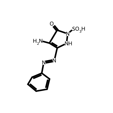 Nc1c(N=Nc2ccccc2)[nH]n(S(=O)(=O)O)c1=O